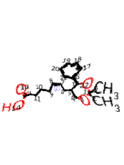 CC1(C)OCC(C/C=C\CCCC(=O)O)C(c2ccccc2)O1